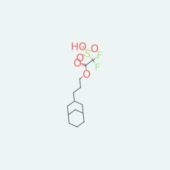 O=C(OCCCC1CC2CCCC(C1)C2)C(F)(F)S(=O)(=O)O